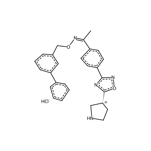 CC(=NOCc1cccc(-c2ccccc2)c1)c1ccc(-c2noc([C@@H]3CCNC3)n2)cc1.Cl